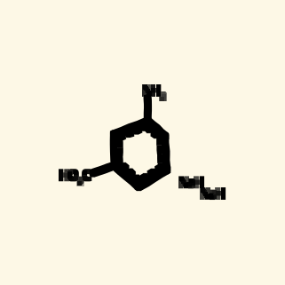 Nc1cccc(C(=O)O)c1.[NaH].[NaH]